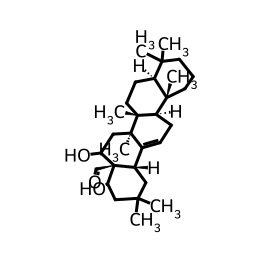 CC1(C)CC(O)[C@]2(C=O)C(O)C[C@]3(C)C(=CC[C@@H]4[C@@]5(C)CCCC(C)(C)[C@@H]5CC[C@]43C)[C@@H]2C1